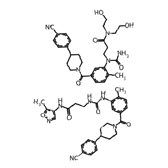 Cc1ccc(C(=O)N2CCC(c3ccc(C#N)cc3)CC2)cc1N(CCC(=O)N(CCO)CCO)C(N)=O.Cc1ccc(C(=O)N2CCC(c3ccc(C#N)cc3)CC2)cc1NC(=O)NCCC(=O)Nc1cnoc1C